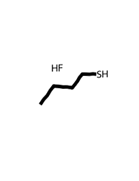 CCCCS.F